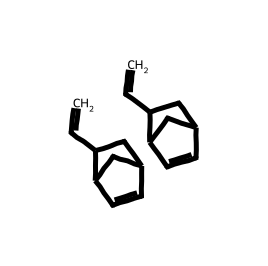 C=CC1CC2C=CC1C2.C=CC1CC2C=CC1C2